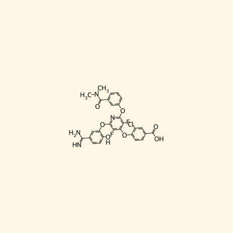 CN(C)C(=O)c1cccc(Oc2nc(Oc3cc(C(=N)N)ccc3O)c(F)c(Oc3ccc(C(=O)O)cc3Cl)c2F)c1